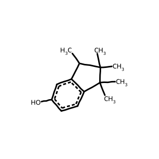 CC1c2cc(O)ccc2C(C)(C)C1(C)C